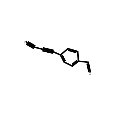 N#CC#Cc1ccc(C=O)cc1